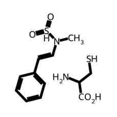 CN(C=Cc1ccccc1)[SH](=O)=O.NC(CS)C(=O)O